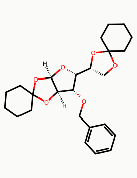 c1ccc(CO[C@@H]2[C@H]3OC4(CCCCC4)O[C@H]3O[C@@H]2[C@H]2COC3(CCCCC3)O2)cc1